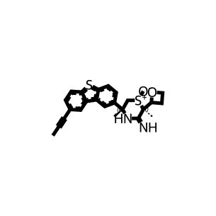 CC#Cc1ccc2sc3ccc([C@]4(C)C[S+]([O-])[C@@](C)(C5CCO5)C(=N)N4)cc3c2c1